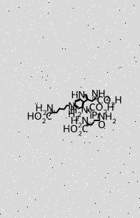 CC(C)[C@H](N)C(=O)O.NC(=O)CC[C@H](N)C(=O)O.NCCCC[C@H](N)C(=O)O.N[C@@H](Cc1c[nH]c2ccccc12)C(=O)O